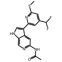 CSc1cc(C(F)F)cc(-c2c[nH]c3cnc(NC(C)=O)cc23)n1